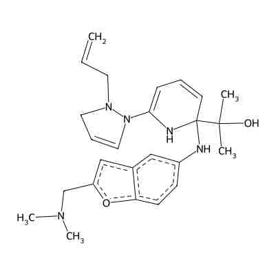 C=CCN1CC=CN1C1=CC=CC(Nc2ccc3oc(CN(C)C)cc3c2)(C(C)(C)O)N1